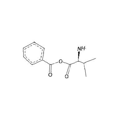 CC(C)[C@H]([NH])C(=O)OC(=O)c1ccccc1